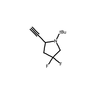 C#CC1CC(F)(F)CN1C(C)(C)C